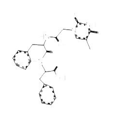 Cc1cn(CC(=O)NC(Cc2ccccc2)C(=O)NC(Cc2ccccc2)C(=O)O)c(=O)[nH]c1=O